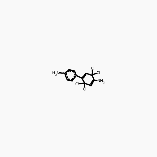 NC1=CC(Cl)(Cl)C(c2ccc(N)cc2)=CC1(Cl)Cl